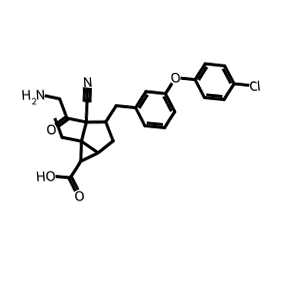 CCC12C(CC(Cc3cccc(Oc4ccc(Cl)cc4)c3)C1(C#N)C(=O)CN)C2C(=O)O